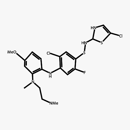 CNCCN(C)c1cc(OC)ccc1Nc1cc(F)c(SNC2NC=C(Cl)S2)cc1Cl